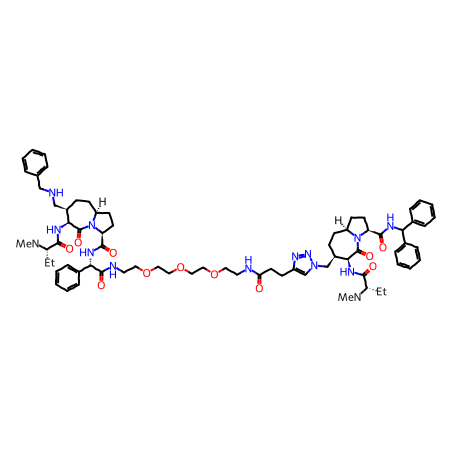 CC[C@H](NC)C(=O)N[C@@H]1C(=O)N2[C@@H](CC[C@@H]1Cn1cc(CCC(=O)NCCOCCOCCOCCNC(=O)[C@@H](NC(=O)[C@@H]3CC[C@@H]4CC[C@H](CNCc5ccccc5)[C@H](NC(=O)[C@H](CC)NC)C(=O)N43)c3ccccc3)nn1)CC[C@H]2C(=O)NC(c1ccccc1)c1ccccc1